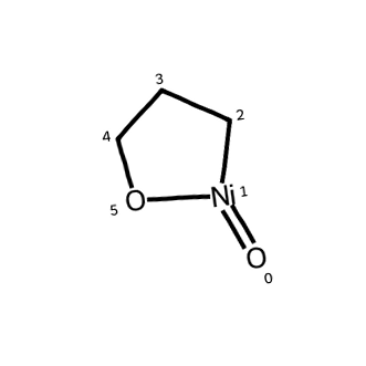 [O]=[Ni]1[CH2]CC[O]1